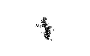 COc1cc(C(=O)N2CCCCC2)ccc1NCC#Cc1sc2c(NC3CCN(C)CC3F)cccc2c1CC(F)(F)F